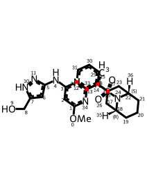 COc1cc(Nc2cc(CO)[nH]n2)nc(N(C)C2C[C@H]3CCC[C@@H](C2)N3S(=O)(=O)c2cccnc2)n1